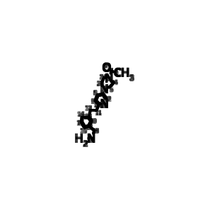 CC(=O)N1CCN(c2ccc(CCc3cccc(CN)c3)nc2)CC1